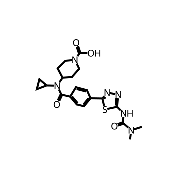 CN(C)C(=O)Nc1nnc(-c2ccc(C(=O)N(C3CC3)C3CCN(C(=O)O)CC3)cc2)s1